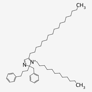 CCCCCCCCCCCCCCCCCC1=[N+](CCCCCCCCCCCC)C(CCCc2ccccc2)(Cc2ccccc2)N=C1